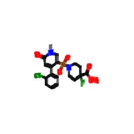 Cn1cc(S(=O)(=O)N2CCC(F)(C(=O)O)CC2)c(-c2ccccc2Cl)cc1=O